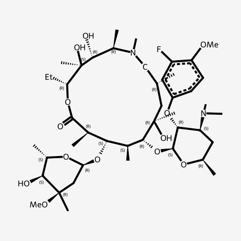 CC[C@H]1OC(=O)[C@H](C)[C@@H](O[C@H]2C[C@@](C)(OC)[C@@H](O)[C@H](C)O2)[C@H](C)[C@@H](O[C@@H]2O[C@H](C)C[C@H](N(C)C)[C@H]2Oc2ccc(OC)c(F)c2)[C@](C)(O)C[C@@H](C)CN(C)[C@H](C)[C@@H](O)[C@]1(C)O